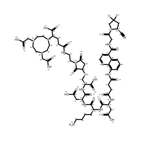 N#C[C@@H]1CC(F)(F)CN1C(=O)CNC(=O)c1ccnc2c(NC(=O)CCC(=O)N[C@@H](CC(=O)O)C(=O)N[C@@H](CCCCN)C(=O)N[C@@H](CC(=O)O)C(=O)N[C@@H](CSC3CC(=O)N(CCNC(=O)CCC(C(=O)O)N4CCN(CC(=O)O)CCN(CC(=O)O)CC4)C3=O)C(=O)O)cccc12